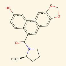 O=C(O)[C@@H]1CCCN1C(=O)c1cc2cc3c(cc2c2cc(O)ccc12)OCO3